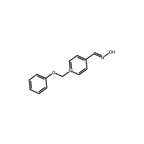 ON=Cc1cc[n+](COc2ccccc2)cc1